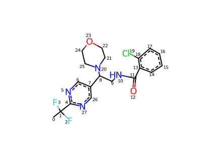 CC(F)(F)c1ncc(C(CNC(=O)c2ccccc2Cl)N2CCOCC2)cn1